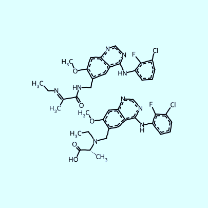 CCN(Cc1cc2c(Nc3cccc(Cl)c3F)ncnc2cc1OC)[C@H](C)C(=O)O.CCN=C(C)C(=O)NCc1cc2c(Nc3cccc(Cl)c3F)ncnc2cc1OC